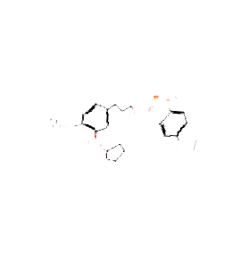 COc1ccc(CCCOS(=O)(=O)c2ccc(C)cc2)cc1OC1CCCC1